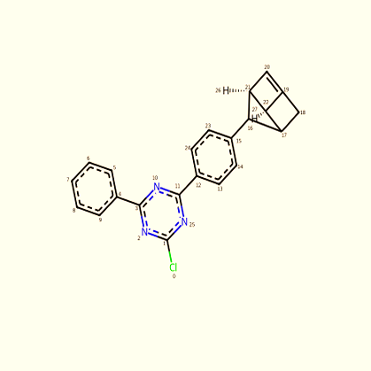 Clc1nc(-c2ccccc2)nc(-c2ccc(C3C4CC5=C[C@H]3[C@@H]54)cc2)n1